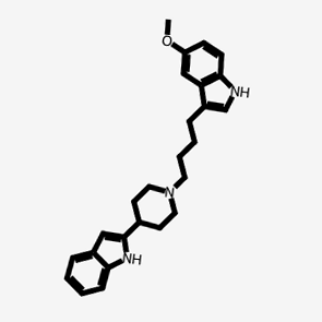 COc1ccc2[nH]cc(CCCCN3CCC(c4cc5ccccc5[nH]4)CC3)c2c1